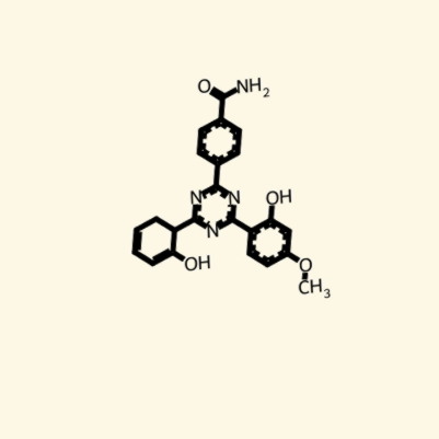 COc1ccc(-c2nc(-c3ccc(C(N)=O)cc3)nc(C3CC=CC=C3O)n2)c(O)c1